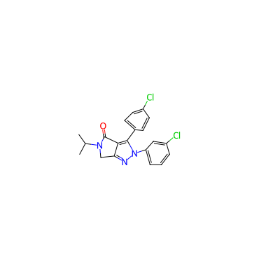 CC(C)N1Cc2nn(-c3cccc(Cl)c3)c(-c3ccc(Cl)cc3)c2C1=O